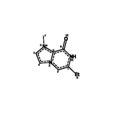 CCc1cn2cc[n+](C)c2c(=O)[nH]1